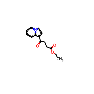 CCOC(=O)CCC(=O)c1ccn2ccccc12